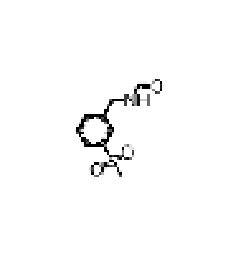 CS(=O)(=O)c1cccc(CNC=O)c1